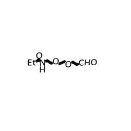 CCC(=O)NCCOCCOCCC=O